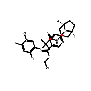 CC(C)(Oc1cc(Cl)c(F)cc1Cl)C(=O)N[C@H]1C[C@H]2CC[C@@H](C1)N2c1ccc(C(=O)NCC(F)(F)F)cn1